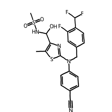 Cc1sc(N(Cc2ccc(C(F)F)c(F)c2)c2ccc(C#N)cc2)nc1C(O)NS(C)(=O)=O